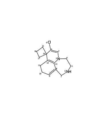 ClC1=CN2CCNCC3=CCCC(=C32)C12CCC2